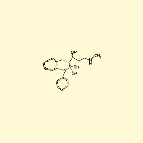 CNCC[C@H](O)[C@H]1Cc2ccccc2N(c2ccccc2)S1(O)O